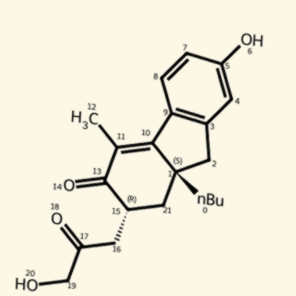 CCCC[C@]12Cc3cc(O)ccc3C1=C(C)C(=O)[C@@H](CC(=O)CO)C2